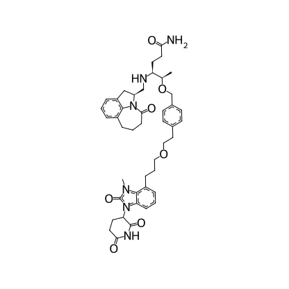 C[C@@H](OCc1ccc(CCOCCCc2cccc3c2n(C)c(=O)n3C2CCC(=O)NC2=O)cc1)[C@H](CCC(N)=O)NC[C@@H]1Cc2cccc3c2N1C(=O)CCC3